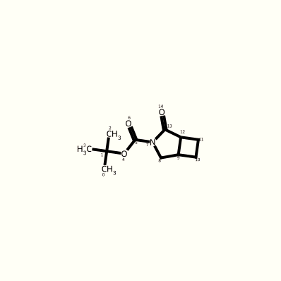 CC(C)(C)OC(=O)N1CC2CCC2C1=O